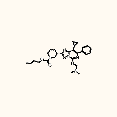 CCCCOC(=O)N1CCC[C@H](c2nc3c(C4CC4)c(-c4ccccc4)nc(N=CN(C)C)n3n2)C1